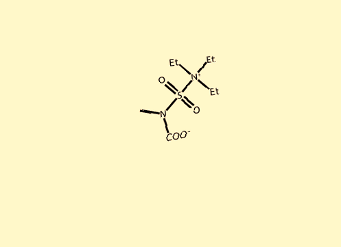 CC[N+](CC)(CC)S(=O)(=O)N(C)C(=O)[O-]